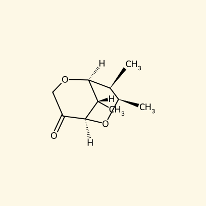 C[C@@H]1[C@@H]2OCC(=O)[C@H](O[C@@H]1C)[C@H]2C